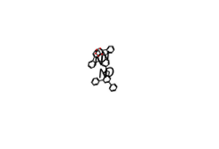 c1ccc(-c2cc(-c3ccccc3)c3nc(-c4ccc(-n5c6ccccc6c6ccccc65)c(-n5c6ccccc6c6ccccc65)c4)oc3c2)cc1